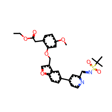 CCOC(=O)Cc1ccc(OC)cc1OCc1coc2ccc(-c3ccnc(C=NS(=O)(=O)C(C)(C)C)c3)cc12